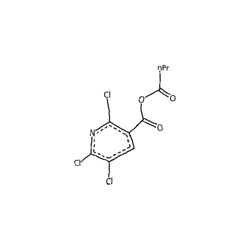 CCCC(=O)OC(=O)c1cc(Cl)c(Cl)nc1Cl